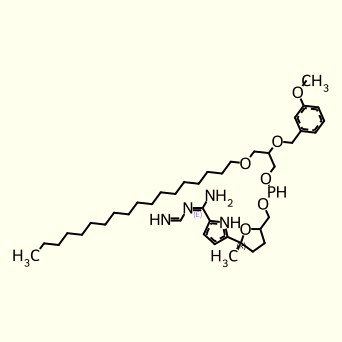 CCCCCCCCCCCCCCCCCCOCC(COPOCC1CC[C@](C)(c2ccc(/C(N)=N\C=N)[nH]2)O1)OCc1cccc(OC)c1